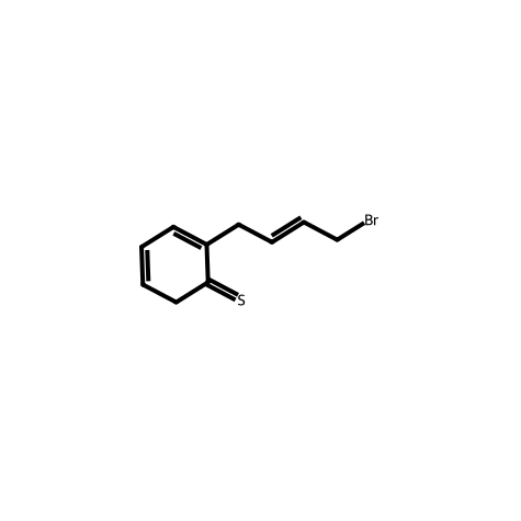 S=C1CC=CC=C1CC=CCBr